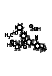 CCOc1ncccc1-c1ccc(C2(NC(=O)N3CC[C@@H](NC)C3)CCN(c3ccc(C(F)(F)F)cc3C#N)CC2)cn1.O=CO